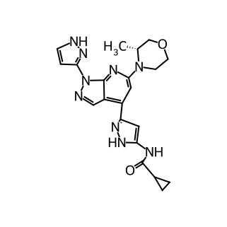 C[C@@H]1COCCN1c1cc(-c2cc(NC(=O)C3CC3)[nH]n2)c2cnn(-c3cc[nH]n3)c2n1